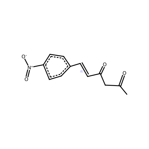 CC(=O)CC(=O)/C=C/c1ccc([N+](=O)[O-])cc1